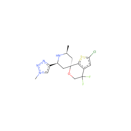 C[C@H]1C[C@@]2(C[C@@H](c3cn(C)nn3)N1)OCC(F)(F)c1cc(Cl)sc12